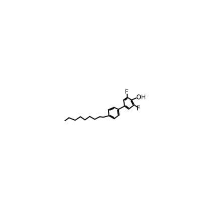 CCCCCCCCCc1ccc(-c2cc(F)c(O)c(F)c2)cc1